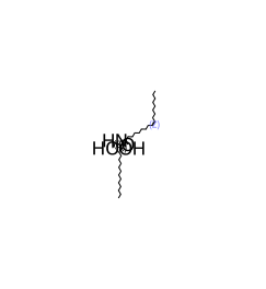 CCCCCCCC/C=C\CCCCCCCC(=O)N[C@@H](CO)[C@H](O)CCCCCCCCCCCCC